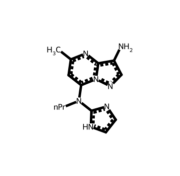 CCCN(c1ncc[nH]1)c1cc(C)nc2c(N)cnn12